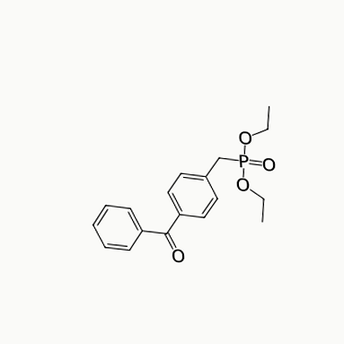 CCOP(=O)(Cc1ccc(C(=O)c2ccccc2)cc1)OCC